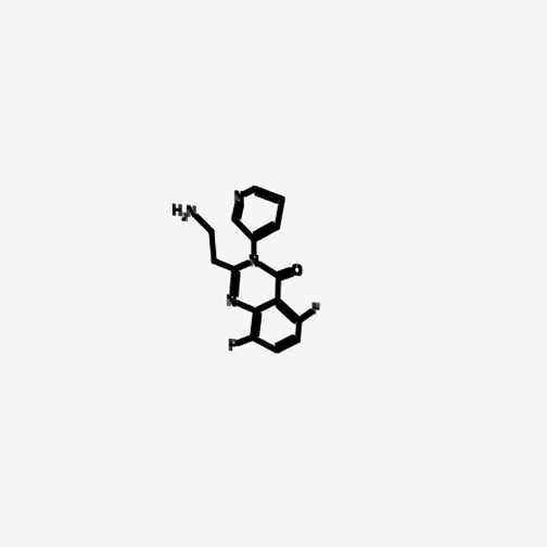 NCCc1nc2c(F)ccc(F)c2c(=O)n1-c1cccnc1